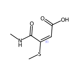 CNC(=O)/C(=C\C(=O)O)SC